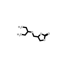 CCC(CC)OCC1COC(=O)O1